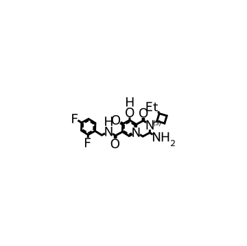 CCC1CC[C@@H]1N1C(=O)c2c(O)c(=O)c(C(=O)NCc3ccc(F)cc3F)cn2CC1N